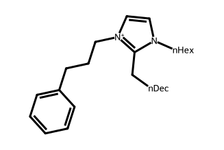 CCCCCCCCCCCc1n(CCCCCC)cc[n+]1CCCc1ccccc1